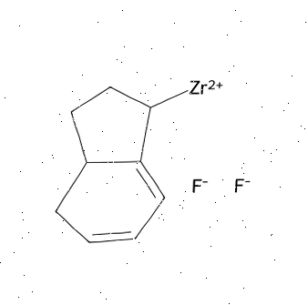 [F-].[F-].[Zr+2][CH]1CCC2CC=CC=C12